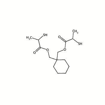 CC(S)C(=O)OCC1(COC(=O)C(C)S)CCCCC1